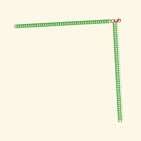 [Cl-].[Cl-].[Cl-].[Cl-].[Cl-].[Cl-].[Cl-].[Cl-].[Cl-].[Cl-].[Cl-].[Cl-].[Cl-].[Cl-].[Cl-].[Cl-].[Cl-].[Cl-].[Cl-].[Cl-].[Cl-].[Cl-].[Cl-].[Cl-].[Cl-].[Cl-].[Cl-].[Cl-].[Cl-].[Cl-].[Cl-].[Cl-].[Cl-].[Cl-].[Cl-].[Cl-].[Cl-].[Cl-].[Cl-].[Cl-].[Cl-].[Cl-].[Cl-].[Cl-].[Cl-].[Cl-].[Cl-].[Cl-].[Cl-].[Cl-].[Cl-].[Cl-].[Cl-].[Cl-].[Cl-].[Cl-].[Cl-].[Cl-].[Cl-].[Cl-].[Cl-].[Cl-].[Cl-].[Cl-].[Cl-].[Cl-].[Cl-].[Cl-].[Cl-].[Cl-].[Cl-].[Cl-].[Cl-].[Cl-].[Cl-].[Cl-].[Cl-].[Cl-].[Cl-].[Cl-].[Cl-].[Cl-].[Cl-].[Cl-].[Cl-].[Cl-].[Cl-].[Cl-].[Cl-].[Cl-].[Cl-].[Cl-].[O]=[U+2]=[O]